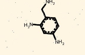 NCc1ccc(N)cc1N